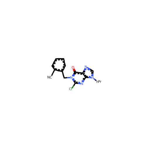 CCCn1cnc2c(=O)n(Cc3ccccc3C#N)c(Cl)nc21